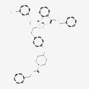 N#Cc1cccc(OC[C@H](Cc2ccc(OC3CCN(C(=O)OCc4ccccc4)CC3)cc2)NS(=O)(=O)c2ccccc2C(=O)OCc2ccccc2)c1